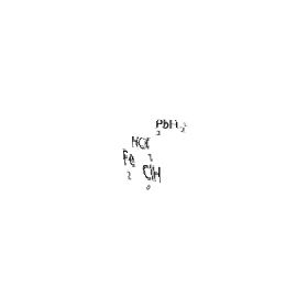 Cl.Cl.[Fe].[PbH2]